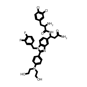 NC(=O)CC(NC(=O)C(N)Cc1ccc(Cl)c(Cl)c1)c1ccc2c(c1)nc(-c1ccc(N(CCO)CCO)cc1)n2Cc1ccc(F)c(F)c1